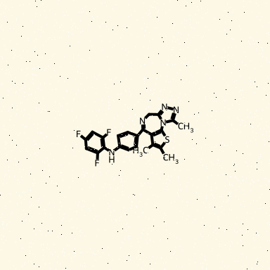 Cc1sc2c(c1C)C(c1ccc(Nc3c(F)cc(F)cc3F)cc1)=NCc1nnc(C)n1-2